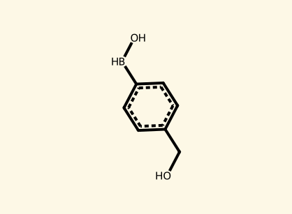 OBc1ccc(CO)cc1